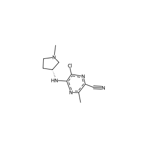 Cc1nc(N[C@@H]2CCN(C)C2)c(Cl)nc1C#N